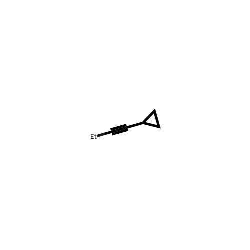 CCC#CC1CC1